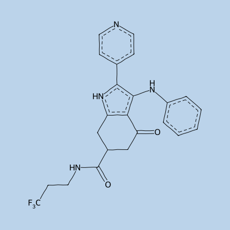 O=C1CC(C(=O)NCCC(F)(F)F)Cc2[nH]c(-c3ccncc3)c(Nc3ccccc3)c21